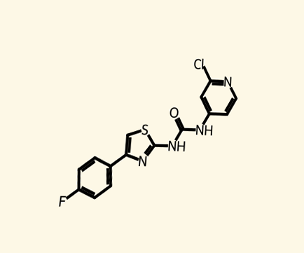 O=C(Nc1ccnc(Cl)c1)Nc1nc(-c2ccc(F)cc2)cs1